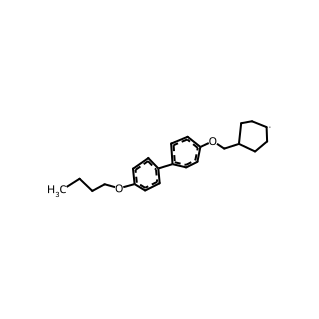 CCCCOc1ccc(-c2ccc(OCC3CC[CH]CC3)cc2)cc1